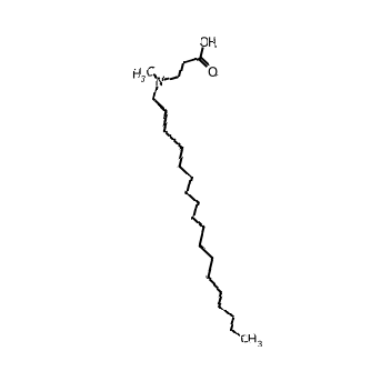 CCCCCCCCCCCCCCCCCCN(C)CCC(=O)O